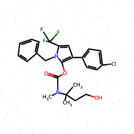 CN(C(=O)Oc1c(-c2ccc(Cl)cc2)cc(C(F)(F)F)n1Cc1ccccc1)C(C)(C)CCO